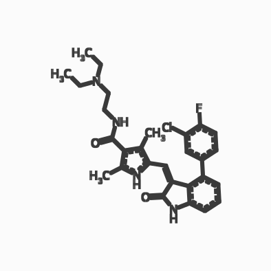 CCN(CC)CCNC(=O)c1c(C)[nH]c(C=C2C(=O)Nc3cccc(-c4ccc(F)c(Cl)c4)c32)c1C